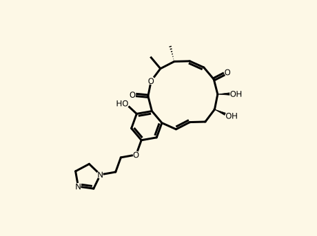 CC1OC(=O)c2c(O)cc(OCCN3C=NCC3)cc2/C=C/C[C@H](O)[C@H](O)C(=O)/C=C\[C@H]1C